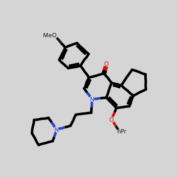 CCCOc1cc2c(c3c(=O)c(-c4ccc(OC)cc4)cn(CCCN4CCCCC4)c13)CCC2